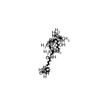 CC(=O)N[C@H]1[C@H]([C@H](O)[C@H](O)CO)OC(P(=O)(O)OC(C)COC(C)(C)CCNC(=O)CCCC[C@@H]2SC[C@@H]3NC(=O)N[C@@H]32)=C[C@@H]1NC(=N)N